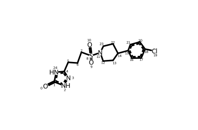 O=c1[nH]nc(CCCS(=O)(=O)N2CCC(c3ccc(Cl)cc3)CC2)[nH]1